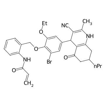 C=CC(=O)Nc1ccccc1COc1c(Br)cc(C2C(C#N)=C(C)NC3=C2C(=O)CC(CCC)C3)cc1OCC